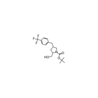 CC(C)(C)OC(=O)N1CC(Cc2ccc(C(F)(F)F)cc2)CC1CO